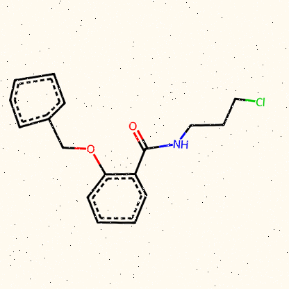 O=C(NCCCCl)c1ccccc1OCc1ccccc1